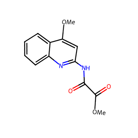 COC(=O)C(=O)Nc1cc(OC)c2ccccc2n1